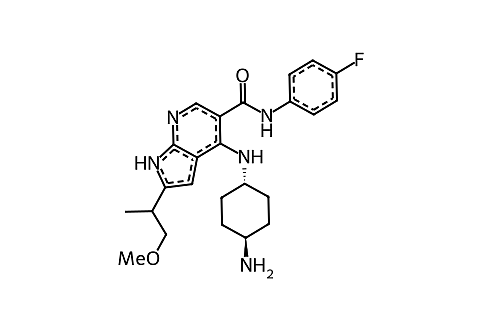 COCC(C)c1cc2c(N[C@H]3CC[C@H](N)CC3)c(C(=O)Nc3ccc(F)cc3)cnc2[nH]1